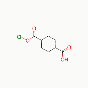 O=C(O)C1CCC(C(=O)OCl)CC1